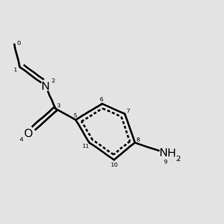 CC=NC(=O)c1ccc(N)cc1